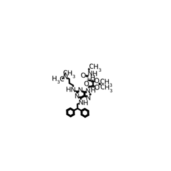 CCNC(=O)[C@H]1O[C@@H](n2cnc3c(NCC(c4ccccc4)c4ccccc4)nc(NCCCN(C)C)nc32)[C@@H]2OC(C)(C)O[C@@H]21